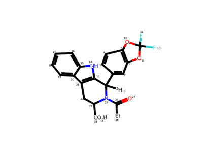 [2H]C1(c2ccc3c(c2)OC(F)(F)O3)c2[nH]c3ccccc3c2CC(C(=O)O)N1C(=O)CC